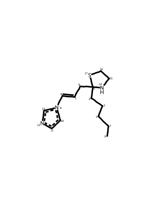 CCCCCC1(CC=Cn2ccnc2)NCCS1